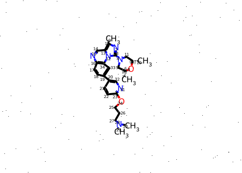 Cc1nc(N2C[C@@H](C)O[C@@H](C)C2)n2c1cnc1ccc(-c3ccc(OCCCN(C)C)nc3)cc12